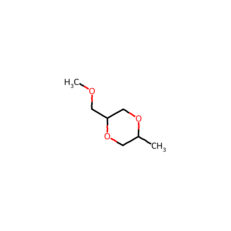 COCC1COC(C)CO1